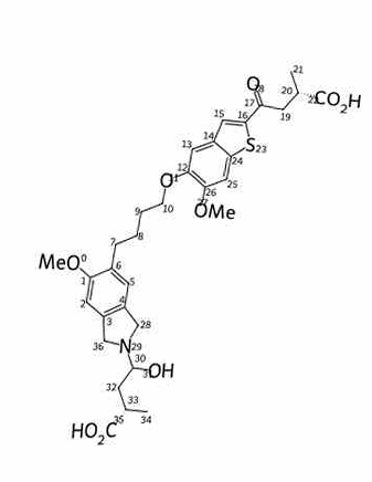 COc1cc2c(cc1CCCCOc1cc3cc(C(=O)C[C@H](C)C(=O)O)sc3cc1OC)CN(C(O)C[C@H](C)C(=O)O)C2